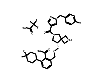 O=C(O)C(F)(F)F.O=C(O)c1c(COC[C@@H]2CN(C(=O)c3cnn(Cc4ccc(F)cc4)c3)CC23CNC3)cccc1C1CCC(F)(F)CC1